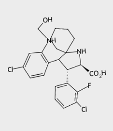 O=C(O)[C@@H]1NC2(CCCCC2)C(c2ccc(Cl)cc2NCO)[C@H]1c1cccc(Cl)c1F